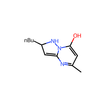 CCCCC1C=C2N=C(C)C=C(O)N2N1